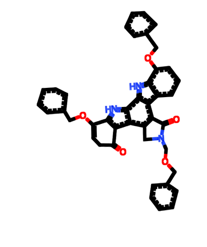 O=C1CC=C(OCc2ccccc2)c2[nH]c3c(c4c(c5c6cccc(OCc7ccccc7)c6[nH]c35)C(=O)N(COCc3ccccc3)C4)c21